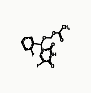 CC(=O)OCOC(c1ccccc1F)n1cc(F)c(=O)[nH]c1=O